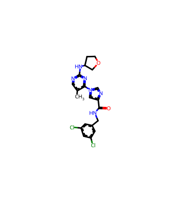 Cc1cnc(NC2CCOC2)nc1-n1cnc(C(=O)NCc2cc(Cl)cc(Cl)c2)c1